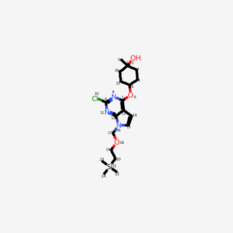 CC1(O)CCC(Oc2nc(Cl)nc3c2ccn3COCC[Si](C)(C)C)CC1